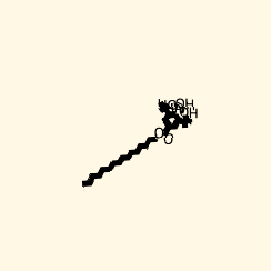 CCCCCCCCCCCCCCCCOC(=O)c1cc(C(C)(C)C)c([PH](O)(O)O)c(C(C)(C)C)c1